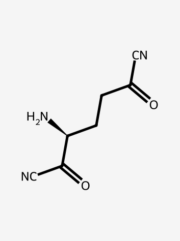 N#CC(=O)CC[C@H](N)C(=O)C#N